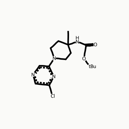 CC1(NC(=O)OC(C)(C)C)CCN(c2cncc(Cl)n2)CC1